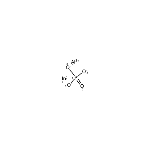 O=P([O-])([O-])[O-].[Al+3].[In]